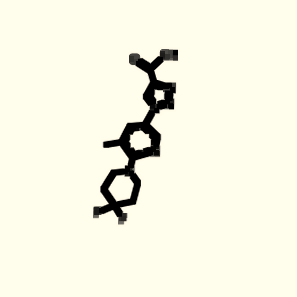 Cc1cc(-n2cc(C(=O)O)nn2)cnc1N1CCC(F)(F)CC1